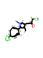 Cc1c(C(=O)CCl)cn(C)c1C1=CCC(Cl)C=C1